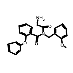 COc1ccccc1CN(C(=O)CN)C(=O)c1ccccc1Oc1ccccc1